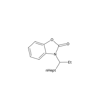 CCCCCCCC(CC)n1c(=O)oc2ccccc21